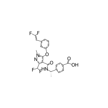 C[C@H](NC(=O)c1c(C(F)F)nn(C)c1Oc1cccc(C=C(F)F)c1)c1ccc(C(=O)O)cc1